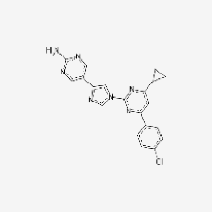 Nc1ncc(-c2cn(-c3nc(-c4ccc(Cl)cc4)cc(C4CC4)n3)cn2)cn1